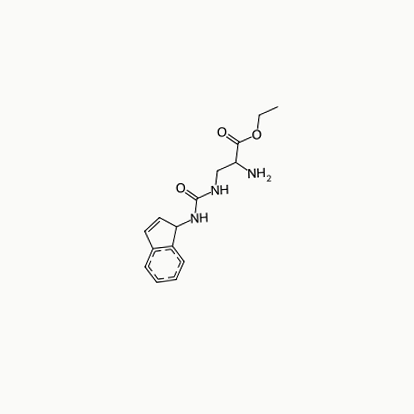 CCOC(=O)C(N)CNC(=O)NC1C=Cc2ccccc21